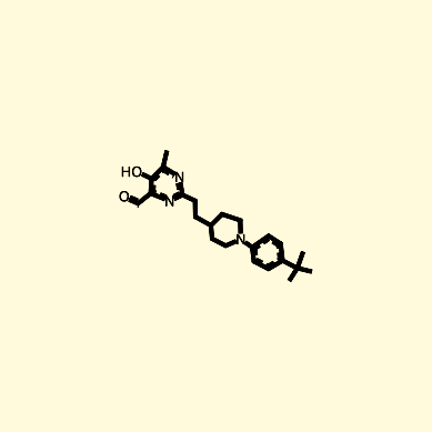 Cc1nc(CCC2CCN(c3ccc(C(C)(C)C)cc3)CC2)nc([C]=O)c1O